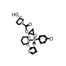 O=C(OC1([C@H]2CCC[C@@H](c3cccs3)N2S(=O)(=O)c2ccc(Cl)cc2)CC1)N1CC[C@H](O)C1